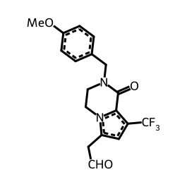 COc1ccc(CN2CCn3c(CC=O)cc(C(F)(F)F)c3C2=O)cc1